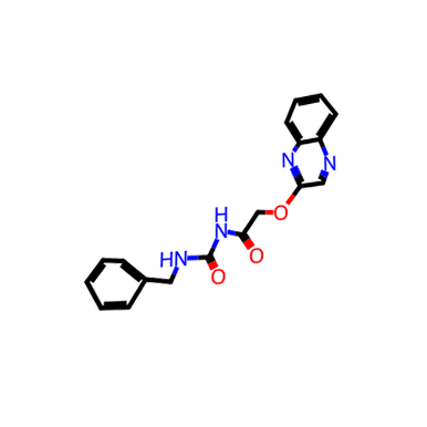 O=C(COc1cnc2ccccc2n1)NC(=O)NCc1ccccc1